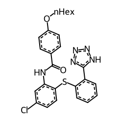 CCCCCCOc1ccc(C(=O)Nc2cc(Cl)ccc2Sc2ccccc2-c2nnn[nH]2)cc1